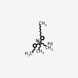 CCCCCCCCc1cccc(C2=C(CCCC)C(CCCC)=C(c3cccc(CCCC)c3)[N+]2=[N-])c1.[Pd]